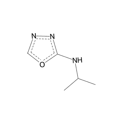 CC(C)Nc1nnco1